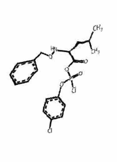 CC(C)C[C@H](NOCc1ccccc1)C(=O)OP(=O)(Cl)Oc1ccc(Cl)cc1